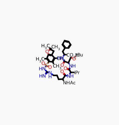 CC(=O)NC(CCCNC(=N)NS(=O)(=O)c1c(C)c(C)c2c(c1C)OC(C)(C)C2)C(=O)NC(C(=O)NC(COC(C)(C)C)C(=O)NC(Cc1ccccc1)C(=O)O)C(C)C